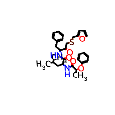 CC(C)CC(NC(=O)C(C)Oc1ccccc1)C(=O)NC(Cc1ccccc1)C(=O)CSCc1ccco1